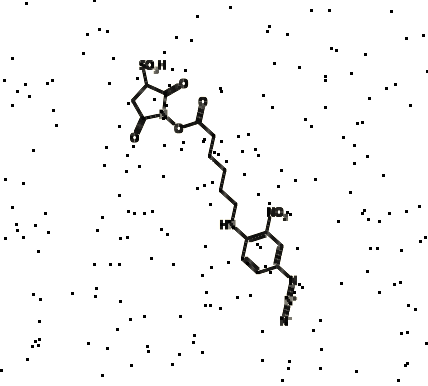 [N-]=[N+]=Nc1ccc(NCCCCCC(=O)ON2C(=O)CC(S(=O)(=O)O)C2=O)c([N+](=O)[O-])c1